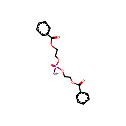 O=C(OCCOP(=O)([AsH])OCCOC(=O)c1ccccc1)c1ccccc1